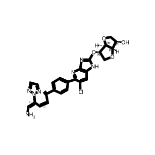 C=C(/C=C\C(=C/N)n1nccn1)c1ccc(-c2nc3nc(O[C@@H]4CO[C@H]5[C@@H]4OC[C@H]5O)[nH]c3cc2Cl)cc1